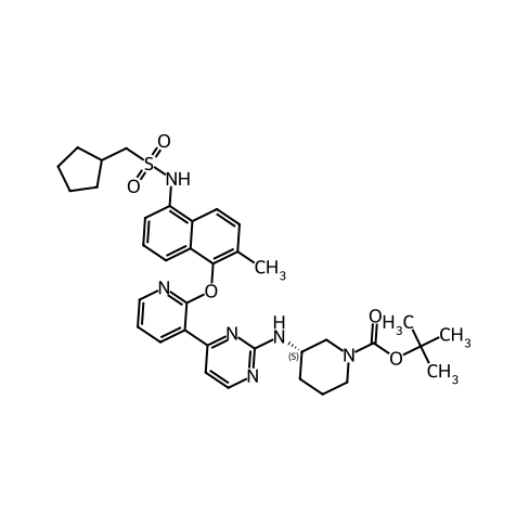 Cc1ccc2c(NS(=O)(=O)CC3CCCC3)cccc2c1Oc1ncccc1-c1ccnc(N[C@H]2CCCN(C(=O)OC(C)(C)C)C2)n1